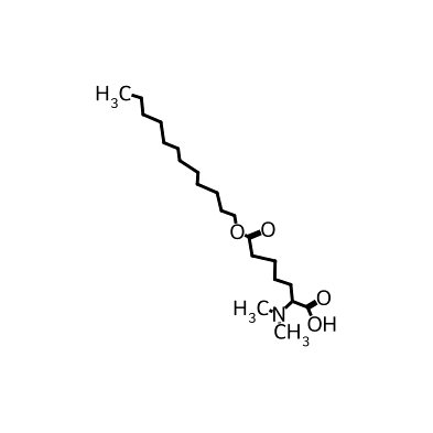 CCCCCCCCCCCCOC(=O)CCCCC(C(=O)O)N(C)C